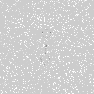 COc1ccc(C#Cc2ccc(C)cc2)cc1